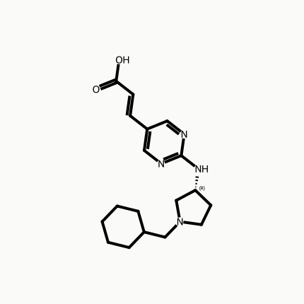 O=C(O)C=Cc1cnc(N[C@@H]2CCN(CC3CCCCC3)C2)nc1